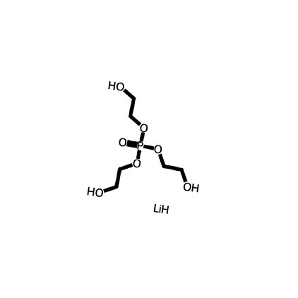 O=P(OCCO)(OCCO)OCCO.[LiH]